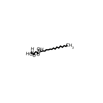 CCCCCCCCCCCCCCCCN(O)C(=O)CC(=O)NO